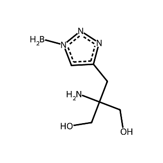 Bn1cc(CC(N)(CO)CO)nn1